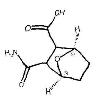 NC(=O)C1C(C(=O)O)[C@H]2CC[C@@H]1O2